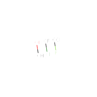 CO.FC(Cl)(Cl)Cl.FC(F)(F)Cl